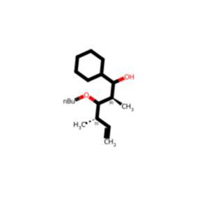 C=C[C@H](C)C(OCCCC)[C@H](C)C(O)C1CCCCC1